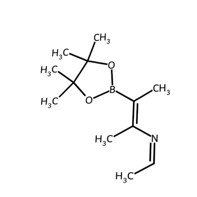 C/C=N\C(C)=C(/C)B1OC(C)(C)C(C)(C)O1